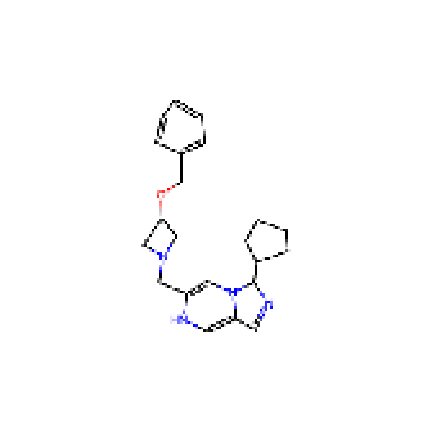 C1=NC(C2CCCC2)N2C=C(CN3CC(OCc4ccccc4)C3)NC=C12